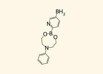 Bc1ccc(B2OCCN(c3ccccc3)CCO2)nc1